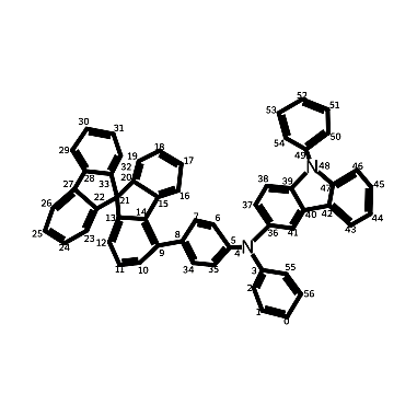 c1ccc(N(c2ccc(-c3cccc4c3-c3ccccc3C43c4ccccc4-c4ccccc43)cc2)c2ccc3c(c2)c2ccccc2n3-c2ccccc2)cc1